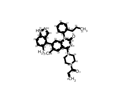 C=CC(=O)N1CCN(c2nc(=O)n(-c3ccccc3CCC)c3cc(-c4c(C)ccc5[nH]ncc45)c(Cl)cc23)CC1